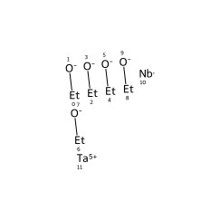 CC[O-].CC[O-].CC[O-].CC[O-].CC[O-].[Nb].[Ta+5]